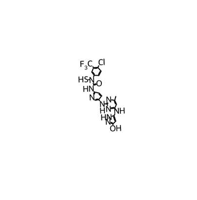 Cc1cc(Nc2cc(O)n[nH]2)nc(Nc2ccc(NC(=O)N(S)c3ccc(Cl)c(C(F)(F)F)c3)nc2)n1